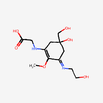 COC1=C(NCC(=O)O)CC(O)(CO)C/C1=N\CCO